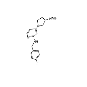 CNC1CCN(c2ccnc(NCc3ccc(F)cc3)c2)C1